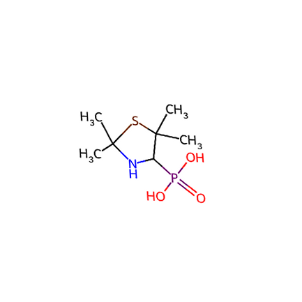 CC1(C)NC(P(=O)(O)O)C(C)(C)S1